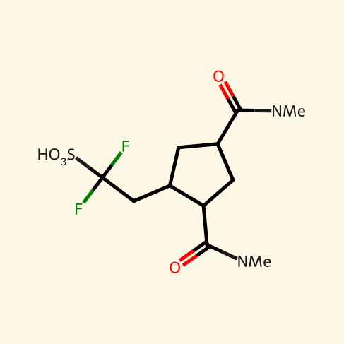 CNC(=O)C1CC(CC(F)(F)S(=O)(=O)O)C(C(=O)NC)C1